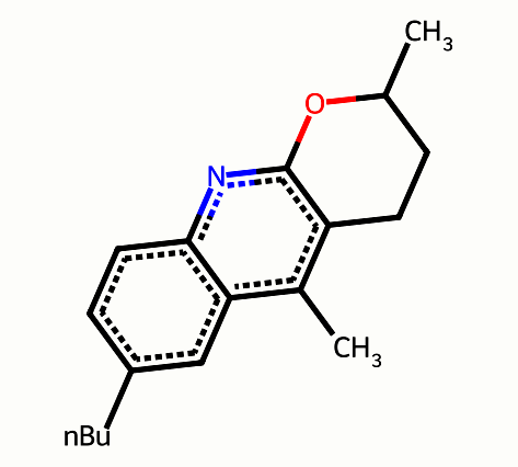 CCCCc1ccc2nc3c(c(C)c2c1)CCC(C)O3